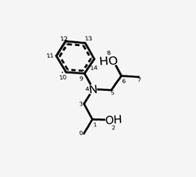 CC(O)CN(CC(C)O)c1[c]cccc1